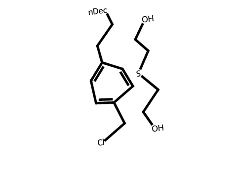 CCCCCCCCCCCCc1ccc(CCl)cc1.OCCSCCO